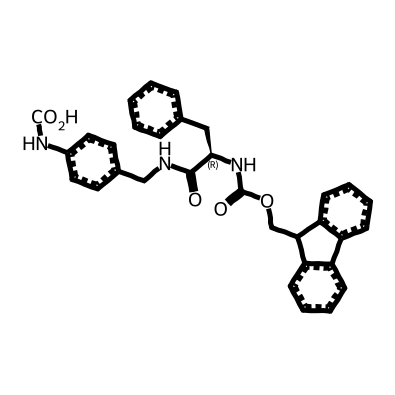 O=C(O)Nc1ccc(CNC(=O)[C@@H](Cc2ccccc2)NC(=O)OCC2c3ccccc3-c3ccccc32)cc1